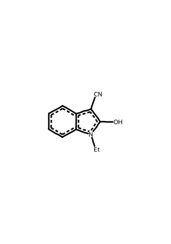 CCn1c(O)c(C#N)c2ccccc21